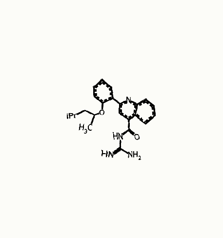 CC(C)CC(C)Oc1ccccc1-c1cc(C(=O)NC(=N)N)c2ccccc2n1